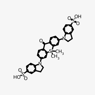 C[Si]1(C)c2cc(N3CCc4cc(S(=O)(=O)O)ccc43)ccc2C(=O)c2ccc(N3CCc4cc(S(=O)(=O)O)ccc43)cc21